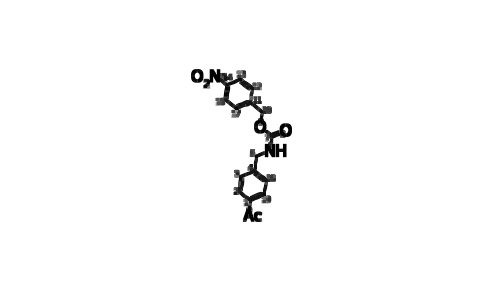 CC(=O)c1ccc(CNC(=O)OCc2ccc([N+](=O)[O-])cc2)cc1